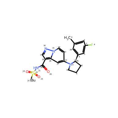 Cc1cc(F)cc([C@H]2CCCN2c2ccn3ncc(C(=O)NS(=O)(=O)C(C)(C)C)c3c2)c1